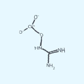 N=C(N)NO[Cl+2]([O-])[O-]